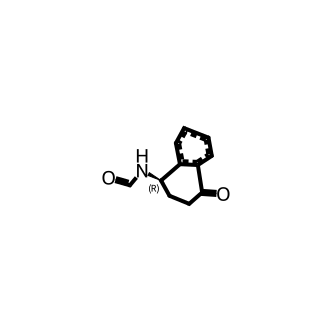 O=CN[C@@H]1CCC(=O)c2ccccc21